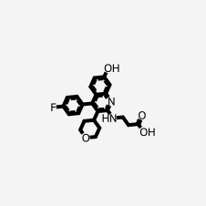 O=C(O)CCNc1nc2cc(O)ccc2c(-c2ccc(F)cc2)c1C1CCOCC1